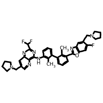 Cc1c(Nc2nc(C(F)F)nc3cc(CN4CCCC4)cnc23)cccc1-c1cccc(-c2nc3cc(CN4CCCC4)c(F)cc3o2)c1C